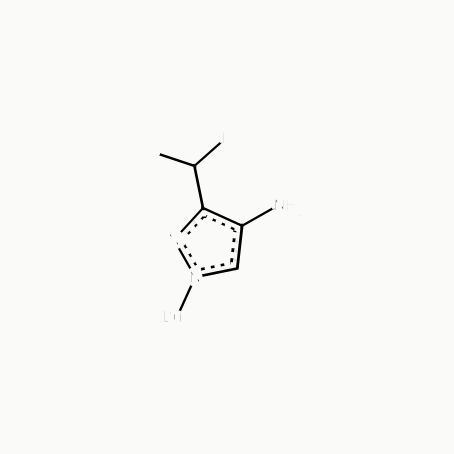 CC(C)(C)n1cc(N)c(C(F)F)n1